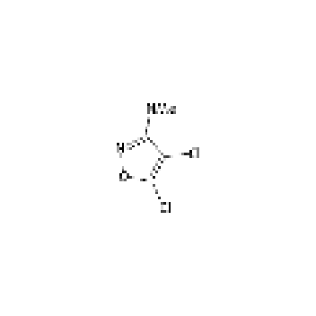 CNc1noc(Cl)c1Cl